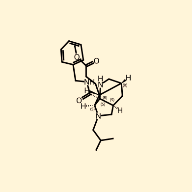 COC(=O)CC[C@@H]1[C@@H]2CN[C@@]3(C(=O)NCc4ccccc4)[C@@H](C2)CN(CC(C)C)[C@@H]13